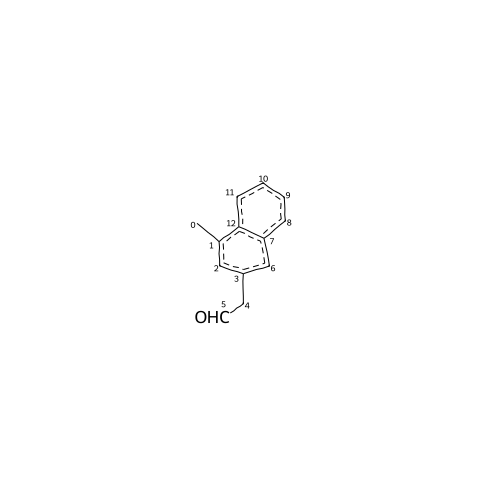 Cc1cc(CC=O)cc2ccccc12